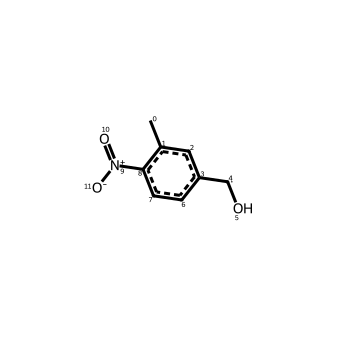 Cc1cc([CH]O)ccc1[N+](=O)[O-]